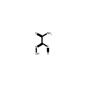 NC(=O)C(=NO)P=O